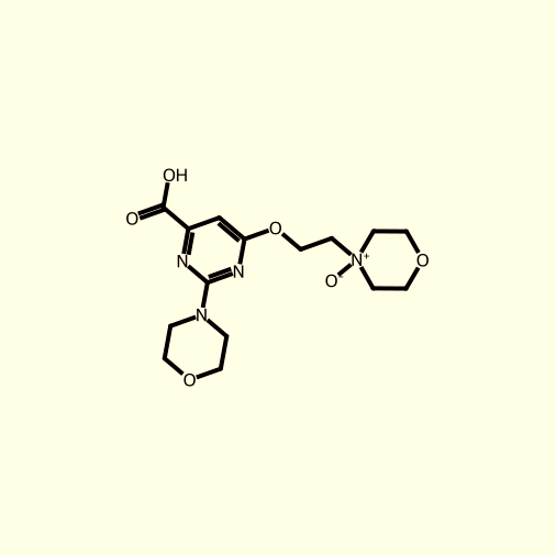 O=C(O)c1cc(OCC[N+]2([O-])CCOCC2)nc(N2CCOCC2)n1